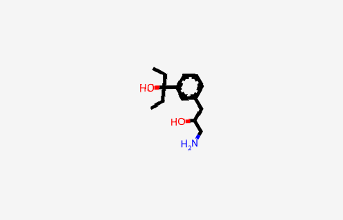 CCC(O)(CC)c1cccc(CC(O)CN)c1